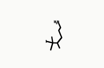 CC(CCCN)C(C)(C)I